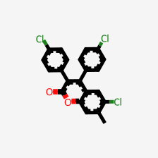 Cc1cc2oc(=O)c(-c3ccc(Cl)cc3)c(-c3ccc(Cl)cc3)c2cc1Cl